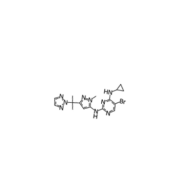 Cn1nc(C(C)(C)n2nccn2)cc1Nc1ncc(Br)c(NC2CC2)n1